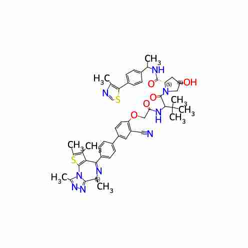 Cc1ncsc1-c1ccc(C(C)NC(=O)[C@@H]2C[C@@H](O)CN2C(=O)C(NC(=O)COc2ccc(-c3ccc(C4=N[C@@H](C)c5nnc(C)n5-c5sc(C)c(C)c54)cc3)cc2C#N)C(C)(C)C)cc1